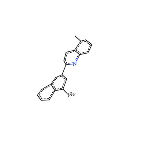 Cc1cccc2nc(-c3cc(C(C)(C)C)c4ccccc4c3)ccc12